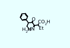 CCC(C(=N)C(=O)C(CN)c1ccccc1)C(=O)O